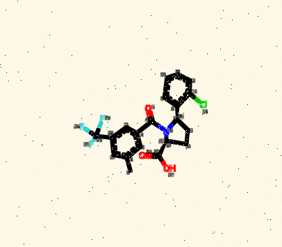 Cc1cc(C(=O)N2[C@@H](c3ccccc3Cl)CC[C@H]2C(=O)O)cc(C(F)(F)F)c1